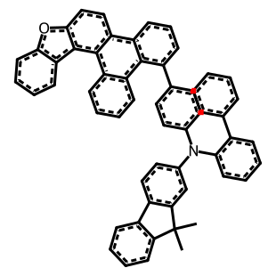 CC1(C)c2ccccc2-c2ccc(N(c3ccc(-c4cccc5c6ccc7oc8ccccc8c7c6c6ccccc6c45)cc3)c3ccccc3-c3ccccc3)cc21